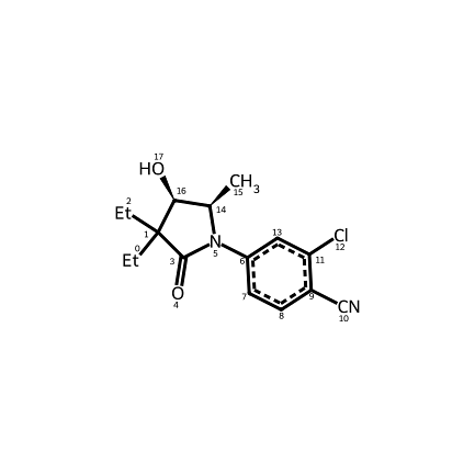 CCC1(CC)C(=O)N(c2ccc(C#N)c(Cl)c2)[C@H](C)[C@@H]1O